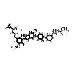 CC(=N)NCC[C@@H]1CCC[C@@H](c2ccc(-n3cc4cc(-c5cc(CCCC(N)C6CC6)cc(OC(F)(F)F)c5F)[nH]c4nc3=O)cc2F)N1